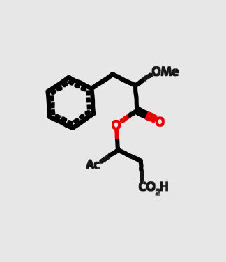 COC(Cc1ccccc1)C(=O)OC(CC(=O)O)C(C)=O